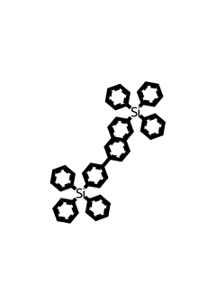 c1ccc([Si](c2ccccc2)(c2ccccc2)c2ccc(-c3ccc4cc([Si](c5ccccc5)(c5ccccc5)c5ccccc5)ccc4c3)cc2)cc1